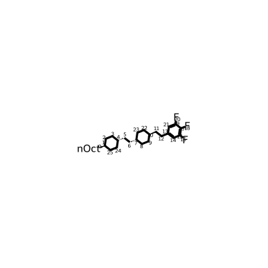 CCCCCCCC[C@H]1CC[C@H](CC[C@H]2CC[C@H](CCc3cc(F)c(F)c(F)c3)CC2)CC1